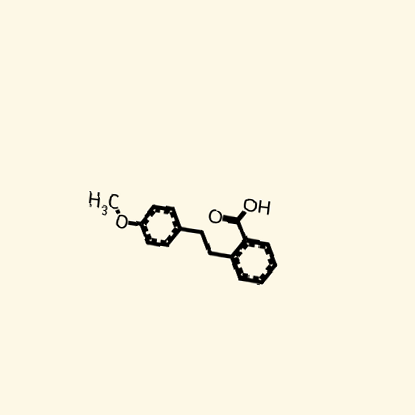 COc1ccc(CCc2ccccc2C(=O)O)cc1